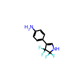 Nc1ccc(C2=CNC(F)(F)C2(F)F)cc1